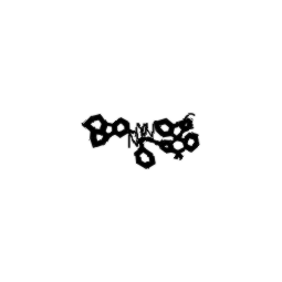 CC1(C)c2ccccc2C2(c3ccccc3-c3ccccc32)c2cc(-c3nnc(-c4ccc5c(c4)-c4cccc6cccc-5c46)nc3-c3ccccc3)ccc21